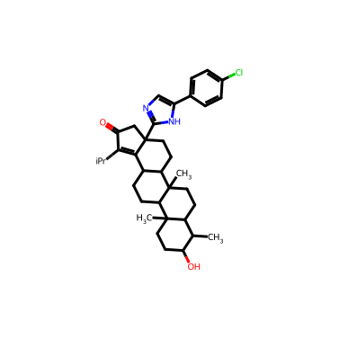 CC(C)C1=C2C3CCC4C(C)(CCC5C(C)C(O)CCC54C)C3CCC2(c2ncc(-c3ccc(Cl)cc3)[nH]2)CC1=O